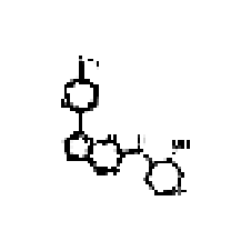 Cc1ccc(-c2ccc3cnc(N[C@@H]4CCNC[C@H]4O)nn23)nc1